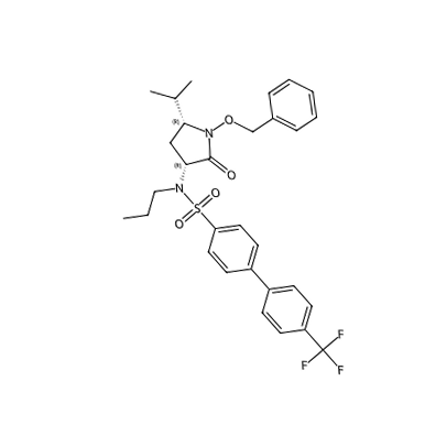 CCCN([C@@H]1C[C@H](C(C)C)N(OCc2ccccc2)C1=O)S(=O)(=O)c1ccc(-c2ccc(C(F)(F)F)cc2)cc1